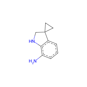 Nc1cccc2c1NCC21CC1